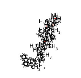 CC(C)C[C@H](NC(=O)[C@H](C)N(C)C(=O)OCC1c2ccccc2-c2ccccc21)C(=O)N(C)CC(=O)N[C@@H](C)C(=O)N[C@@H](CC(C)C)C(=O)N(C)[C@@H](Cc1ccccc1)C(=O)N[C@@H](C)C(=O)N1CCC[C@H]1C(=O)N[C@@H](C)C(=O)N(C)[C@H](C(=O)N(C)[C@@H](CC(N)O)C(=O)N1CCCCC1)C(C)C